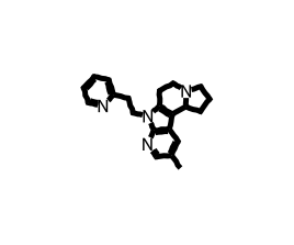 Cc1cnc2c(c1)c1c(n2CCc2ccccn2)CCN2CCCC12